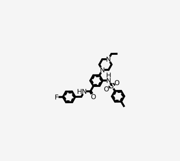 CCN1CCN(c2ccc(C(=O)NCc3ccc(F)cc3)cc2NS(=O)(=O)c2ccc(C)cc2)CC1